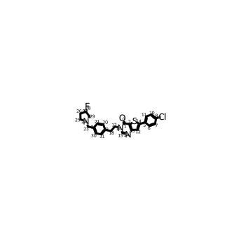 O=c1c2sc(-c3ccc(Cl)cc3)cc2ncn1CCc1ccc(CN2CC[C@H](F)C2)cc1